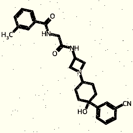 Cc1cccc(C(=O)NCC(=O)NC2CN(C3CCC(O)(c4cccc(C#N)c4)CC3)C2)c1